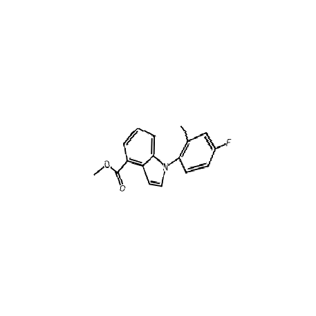 COC(=O)c1cccc2c1ccn2-c1ccc(F)cc1C